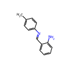 Cc1ccc(N=Cc2ccccc2N)cc1